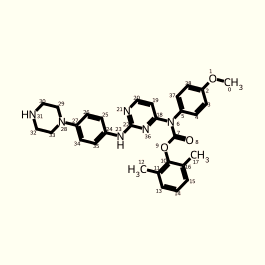 COc1ccc(N(C(=O)Oc2c(C)cccc2C)c2ccnc(Nc3ccc(N4CCNCC4)cc3)n2)cc1